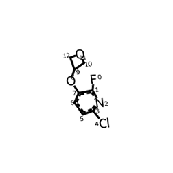 Fc1nc(Cl)ccc1OC1COC1